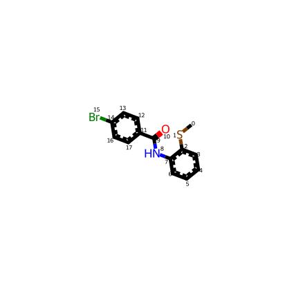 CSc1ccccc1NC(=O)c1ccc(Br)cc1